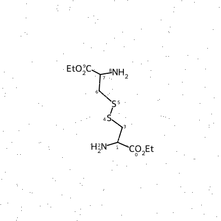 CCOC(=O)C(N)CSSCC(N)C(=O)OCC